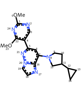 COc1ncc(-c2cc(N3CCC(C4CC4)C3)c3nccn3n2)c(OC)n1